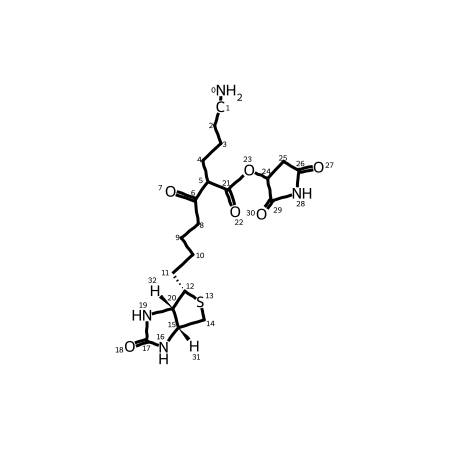 NCCCCC(C(=O)CCCC[C@@H]1SC[C@@H]2NC(=O)N[C@@H]21)C(=O)OC1CC(=O)NC1=O